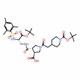 Cc1cc(C)c(S(=O)(=O)N[C@@H](CNC(=O)[C@@H]2CN(C(=O)CC3CCN(C(=O)OC(C)(C)C)CC3)C[C@H]2C(=O)O)C(=O)OC(C)(C)C)c(C)c1